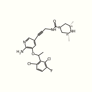 CC(Oc1cc(C#CCNC(=O)N2C[C@@H](C)N[C@@H](C)C2)cnc1N)c1c(Cl)ccc(F)c1Cl